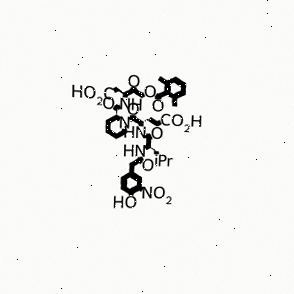 Cc1cccc(C)c1C(=O)OCC(=O)[C@H](CC(=O)O)NC(=O)[C@H]1CCCCN1C(=O)[C@H](CCC(=O)O)NC(=O)[C@H](CC(C)C)NC(=O)Cc1ccc(O)c([N+](=O)[O-])c1